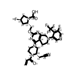 C=CC(=O)N1CCN(c2nc(OC[C@@H]3C[C@@H](F)CN3C(=O)O)nc3c2CCN(c2cncc(F)c2C(F)(F)F)C3)C[C@@H]1CC#N